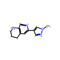 Cn1cc(-c2cc3c(cn2)NCCC3)cn1